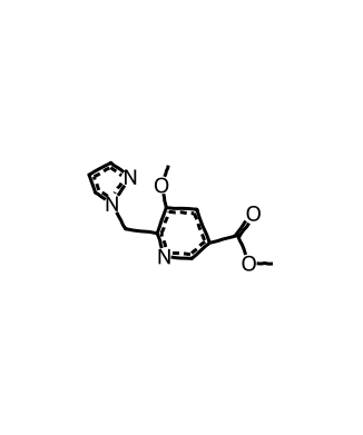 COC(=O)c1cnc(Cn2cccn2)c(OC)c1